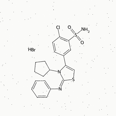 Br.NS(=O)(=O)c1cc(-c2csc(=Nc3ccccc3)n2C2CCCC2)ccc1Cl